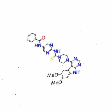 COc1cc2[nH]c3ncnc(N4CCN(C(=S)Nc5ncc(NC(=O)c6ccccc6)cn5)CC4)c3c2cc1OC